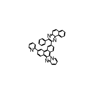 c1ccc(-c2nc3ccc4ccccc4c3nc2-c2ccc3c(c2)c2cc(-c4ccccn4)ccc2c2nc4ccccn4c32)cc1